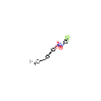 CCCCCCc1ccc(C#Cc2ccc(COC(=O)C(=O)NCc3ccc(C(F)(F)F)cc3)cc2)cc1